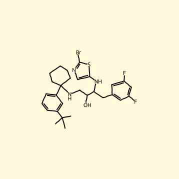 CC(C)(C)c1cccc(C2(NCC(O)C(Cc3cc(F)cc(F)c3)Nc3cnc(Br)s3)CCCCC2)c1